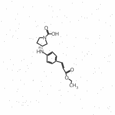 CCOC(=O)C=Cc1ccc(N[C@@H]2CCN(C(=O)O)C2)cc1